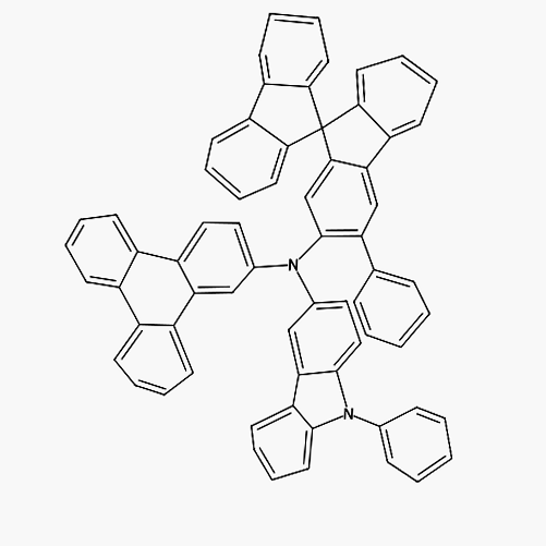 c1ccc(-c2cc3c(cc2N(c2ccc4c5ccccc5c5ccccc5c4c2)c2ccc4c(c2)c2ccccc2n4-c2ccccc2)C2(c4ccccc4-c4ccccc42)c2ccccc2-3)cc1